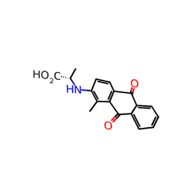 Cc1c(N[C@@H](C)C(=O)O)ccc2c1C(=O)c1ccccc1C2=O